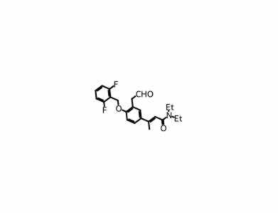 CCN(CC)C(=O)C=C(C)c1ccc(OCc2c(F)cccc2F)c(CC=O)c1